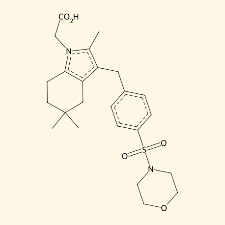 Cc1c(Cc2ccc(S(=O)(=O)N3CCOCC3)cc2)c2c(n1CC(=O)O)CCC(C)(C)C2